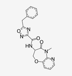 CN1C(=O)C(NC(=O)c2noc(Cc3ccccc3)n2)COc2cccnc21